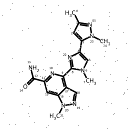 Cc1cc(-c2cn(C)c(-c3nc(C(N)=O)cc4c3cnn4C)n2)n(C)n1